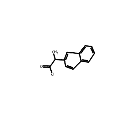 CC(C(=O)Cl)c1ccc2ccccc2c1